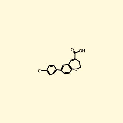 O=C(O)C1=Cc2cc(-c3ccc(Cl)cc3)ccc2OCC1